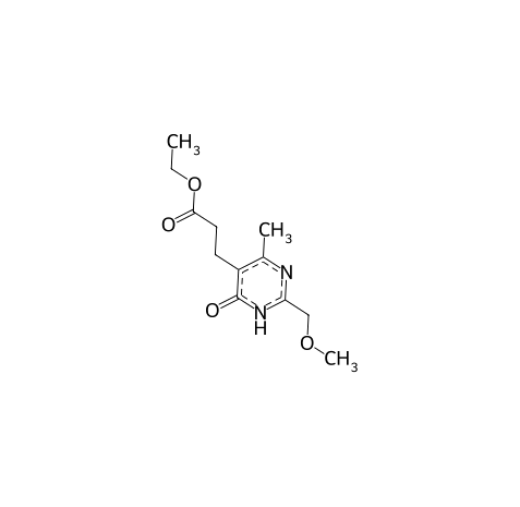 CCOC(=O)CCc1c(C)nc(COC)[nH]c1=O